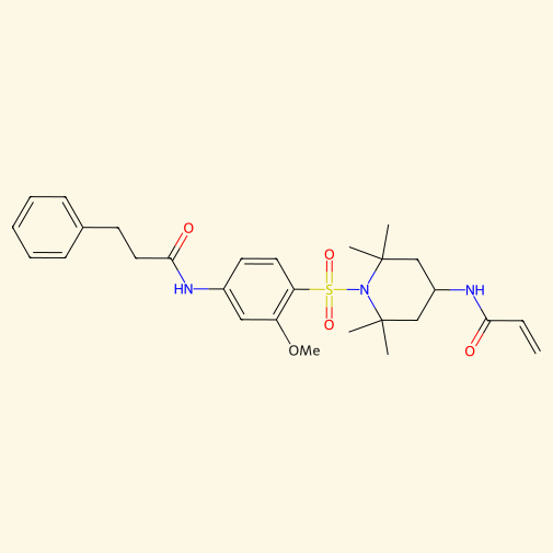 C=CC(=O)NC1CC(C)(C)N(S(=O)(=O)c2ccc(NC(=O)CCc3ccccc3)cc2OC)C(C)(C)C1